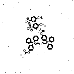 CC(=O)Oc1ccc([P+](CCOCC[P+](c2ccccc2)(c2ccccc2)c2ccc(OC(C)=O)cc2)(c2ccccc2)c2ccccc2)cc1.Cc1ccc(S(=O)(=O)[O-])cc1.Cc1ccc(S(=O)(=O)[O-])cc1